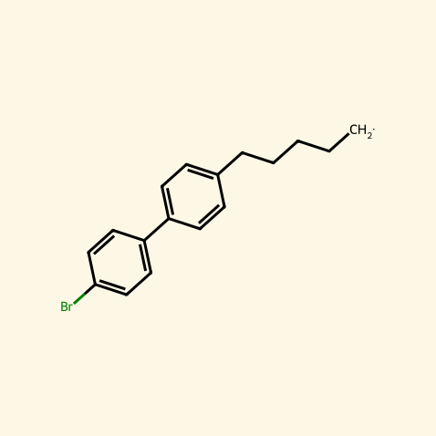 [CH2]CCCCc1ccc(-c2ccc(Br)cc2)cc1